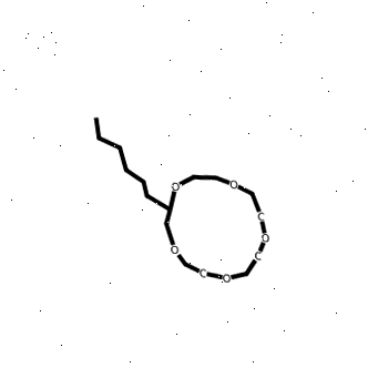 CCCCCCC1COCCOCCOCCOCCO1